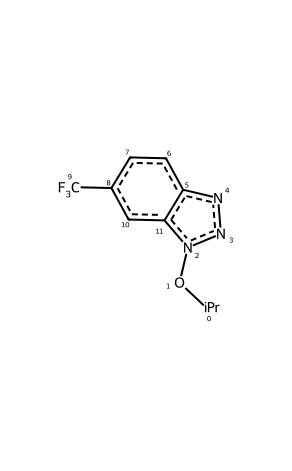 CC(C)On1nnc2ccc(C(F)(F)F)cc21